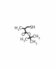 CC(CS)C(=O)OC(C)(C)C